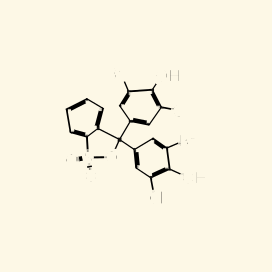 O=S1(=O)OC(c2cc(Cl)c(O)c(Br)c2)(c2cc(Cl)c(O)c(Br)c2)c2ccccc21